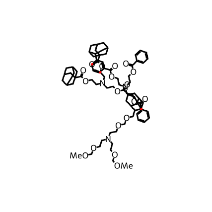 COCOCCN(CCOCOC)CCOCOCC1C2CC3CC1CC(C(=O)OCCN(CCOC(=O)C14CC5CC(CC(C5)C1)C4)CCOC(=O)C14CC5CC(C1)C(c1cccc(C(=O)OCCN(CCOC(=O)c6ccccc6)CCOC(=O)c6ccccc6)c1)C(C5)C4)(C3)C2